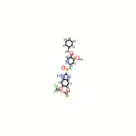 COc1cc(C[S+]([O-])c2nc3cc(OC(F)F)c(OC(F)F)cc3[nH]2)ncc1OCc1ccccc1